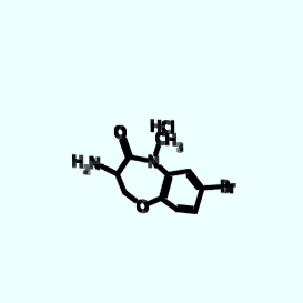 CN1C(=O)C(N)COc2ccc(Br)cc21.Cl